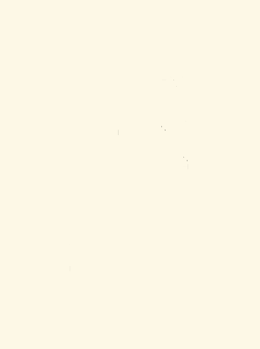 O=C(O)c1cccc2[nH]c(-c3c(F)c(F)c(-c4ccc(F)c(F)c4)c(F)c3F)nc12